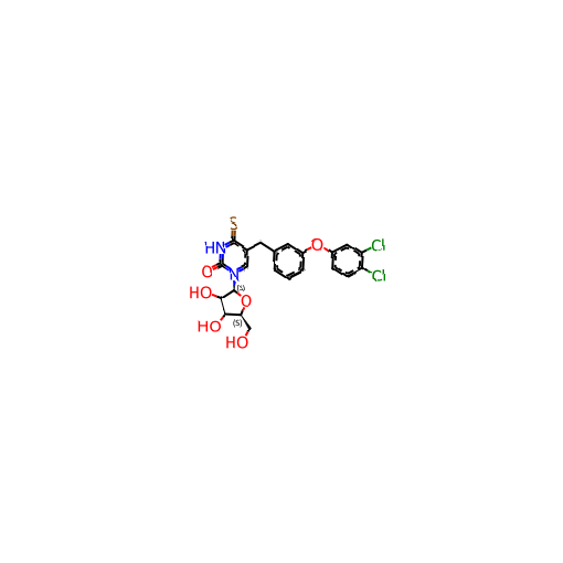 O=c1[nH]c(=S)c(Cc2cccc(Oc3ccc(Cl)c(Cl)c3)c2)cn1[C@H]1O[C@@H](CO)C(O)C1O